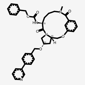 CN1CCC[C@H](NC(=O)OCc2ccccc2)C(=O)N2C[C@@H](OCc3ccc(-c4cccnc4)cc3)C[C@H]2COc2cccc(c2)C1=O